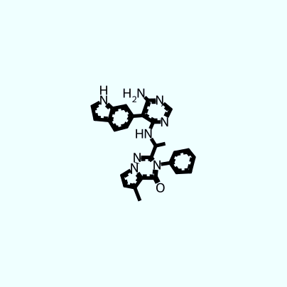 Cc1ccn2nc(C(C)Nc3ncnc(N)c3-c3ccc4cc[nH]c4c3)n(-c3ccccc3)c(=O)c12